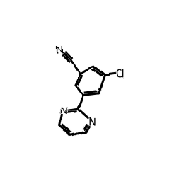 N#Cc1cc(Cl)cc(-c2ncccn2)c1